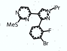 CSc1nccc(-c2cn(C(C)C)nc2-c2cccc(Br)c2F)n1